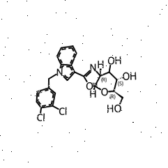 OC[C@H]1O[C@@H]2OC(c3cn(Cc4ccc(Cl)c(Cl)c4)c4ccccc34)=N[C@@H]2C(O)[C@@H]1O